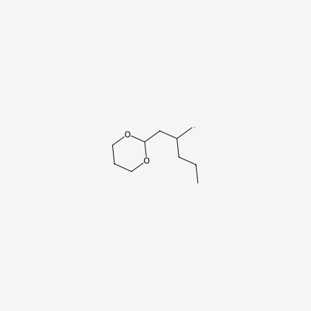 [CH2]C(CCC)CC1OCCCO1